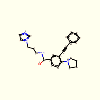 OC(NCCCn1ccnc1)c1ccc(N2CCCC2)c(C#Cc2ccccc2)c1